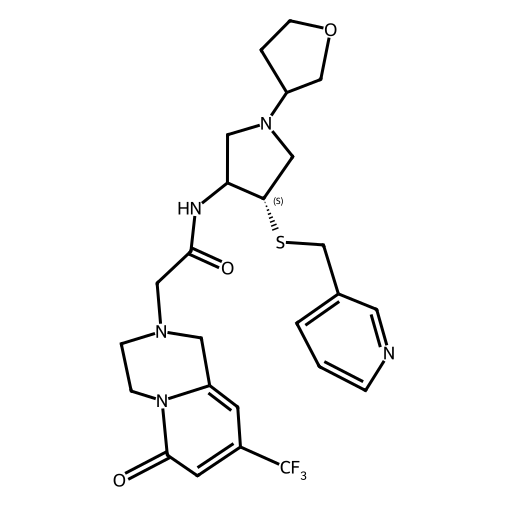 O=C(CN1CCn2c(cc(C(F)(F)F)cc2=O)C1)NC1CN(C2CCOC2)C[C@@H]1SCc1cccnc1